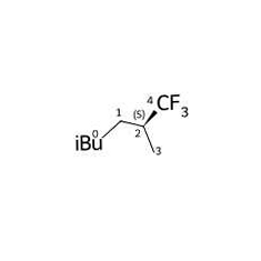 CCC(C)C[C@H](C)C(F)(F)F